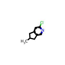 CC1Cc2cnc(Cl)cc2C1